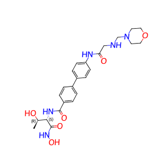 C[C@@H](O)[C@H](NC(=O)c1ccc(-c2ccc(NC(=O)CNCN3CCOCC3)cc2)cc1)C(=O)NO